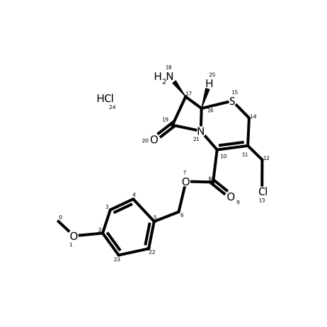 COc1ccc(COC(=O)C2=C(CCl)CS[C@H]3[C@H](N)C(=O)N23)cc1.Cl